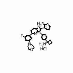 Cl.Nc1ncccc1-c1nc2ccc(-c3cc(F)cc(N4CCOCC4)c3)nc2n1-c1ccc(C2(N)CCC2)cc1